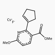 COC(=O)c1ccc(OC)nc1C1=CCCC1.[Cs+].[F-]